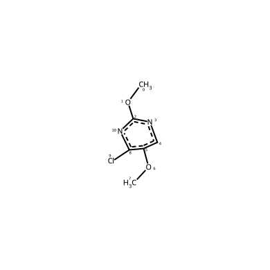 COc1ncc(OC)c(Cl)n1